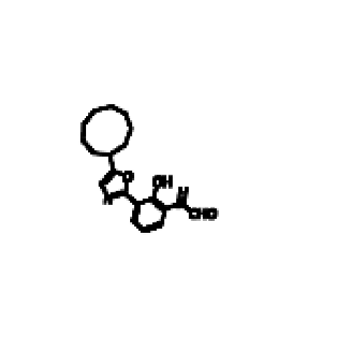 O=CNc1cccc(-c2ncc(C3CCCCCCCC3)o2)c1O